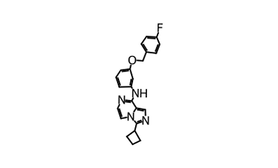 Fc1ccc(COc2cccc(Nc3nccn4c(C5CCC5)ncc34)c2)cc1